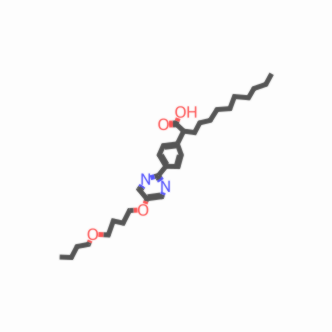 CCCCCCCCCCC(C(=O)O)c1ccc(-c2ncc(OCCCCOCCCC)cn2)cc1